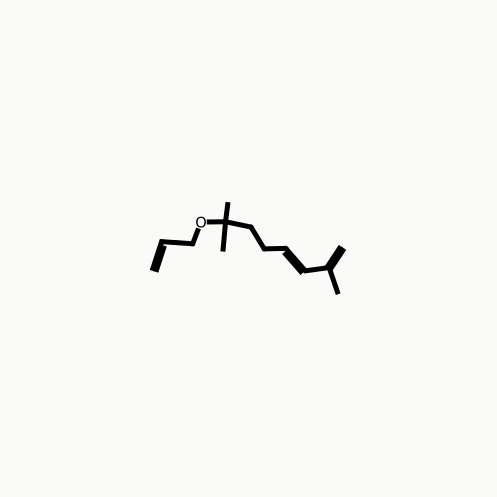 C=CCOC(C)(C)CCC=CC(=C)C